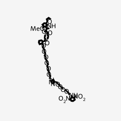 COc1ccc(-c2ccco2)c2[nH]cc(C(=O)C(=O)N3CCN(C(=O)c4ccccc4OCCOCCOCCOCCOCCOCCn4cc(COCOCOCOCCNc5c([N+](=O)[O-])cccc5[N+](=O)[O-])nn4)CC3)c12